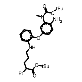 CCC(CCCNc1ccccc1Oc1ccc(N)c(N(C)C(=O)OC(C)(C)C)c1)C(=O)OC(C)(C)C